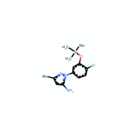 CC(C)(C)c1cc(N)n(-c2ccc(Cl)c(O[Si](C)(C)C(C)(C)C)c2)n1